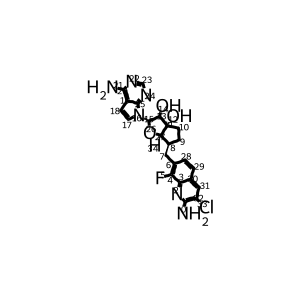 Nc1nc2c(F)c(C[C@@H]3CC[C@]4(O)C(O)[C@H](n5ccc6c(N)ncnc65)O[C@H]34)ccc2cc1Cl